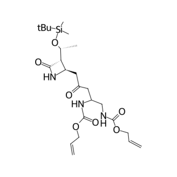 C=CCOC(=O)NCC(CC(=O)C[C@H]1NC(=O)[C@@H]1[C@@H](C)O[Si](C)(C)C(C)(C)C)NC(=O)OCC=C